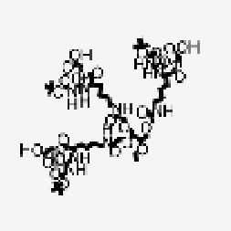 CCOC(COCC(=O)NCCCCC(NC(O)NC(=O)OC(C)(C)C)C(=O)NCC(=O)O)C(COCC(=O)NCCCCC(NC(O)NC(=O)OC(C)(C)C)C(=O)NCC(=O)O)OCC(=O)NCCCCC(NC(O)NC(=O)OC(C)(C)C)C(=O)NCC(=O)O